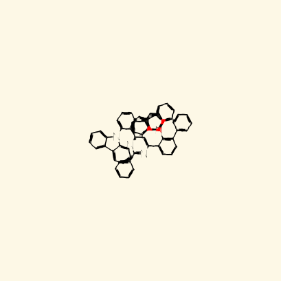 c1ccc(-c2nc(-c3cccc(-c4ccccc4)c3-n3c4ccccc4c4ccccc43)cc(-c3c(-c4ccccc4)cccc3-n3c4ccccc4c4ccccc43)n2)cc1